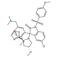 COc1ccc(S(=O)(=O)N2C(=O)C(c3cc(CN(C)C)ccc3OC)(N3C[C@H](OC)C[C@H]3c3ncco3)c3cc(Cl)ccc32)cc1